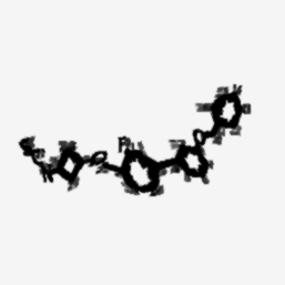 Fc1cc(-c2cccc(OCc3ccccc3)c2)ccc1CO[C@H]1C[C@H](N=C=S)C1